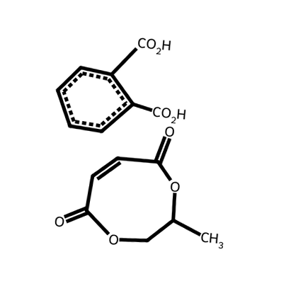 CC1COC(=O)C=CC(=O)O1.O=C(O)c1ccccc1C(=O)O